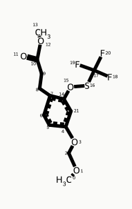 COCOc1ccc(CCC(=O)OC)c(OSC(F)(F)F)c1